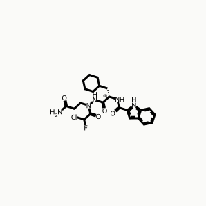 NC(=O)CCN(NC(=O)[C@H](CC1CCCCC1)NC(=O)c1cc2ccccc2[nH]1)C(=O)C(F)Cl